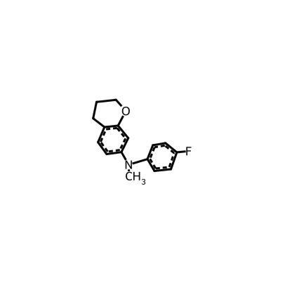 CN(c1ccc(F)cc1)c1ccc2c(c1)OCCC2